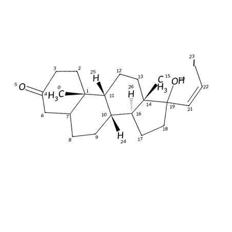 C[C@]12CCC(=O)CC1CC[C@@H]1[C@H]2CC[C@@]2(C)[C@H]1CCC2(O)/C=C\I